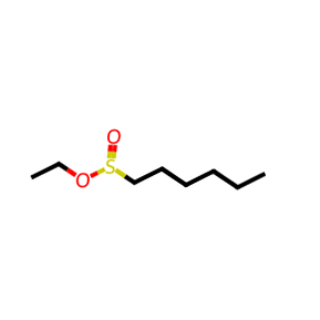 CCCCCCS(=O)OCC